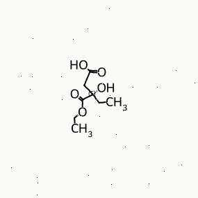 CCOC(=O)[C@](O)(CC)CC(=O)O